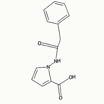 O=C(Cc1ccccc1)Nn1cccc1C(=O)O